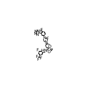 C[C@H]1CN([C@@H]2CC[C@@](C(=O)NCc3cc(F)cc(C(F)(F)F)c3)(C3CC3)OC2)CCN1c1ccc(F)c(-c2nnn[nH]2)c1